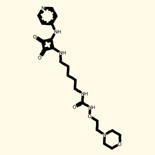 O=C(NCCCCCNc1c(Nc2ccncc2)c(=O)c1=O)NOCCN1CCOCC1